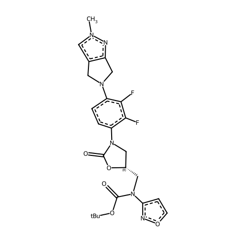 Cn1cc2c(n1)CN(c1ccc(N3C[C@H](CN(C(=O)OC(C)(C)C)c4ccon4)OC3=O)c(F)c1F)C2